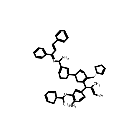 CCC/C=C(\C)C(C1=C(C[C@H]2C=CCC2)C=CC(C2=CC(C(N)/N=C(\C=C\c3ccccc3)c3ccccc3)=CCC2)C1)c1ccc(N)c(OC(C)C2C=CC=CC2)c1